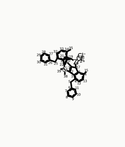 CC1=C2c3c(Cc4ccccc4)ccc(C)c3[CH]1[Zr+2][CH]1C(C)=C(c3c(Cc4ccccc4)ccc(C)c31)[Si]2(C)C.[Cl-].[Cl-]